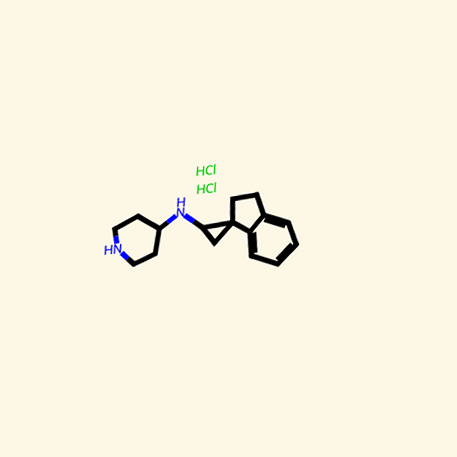 Cl.Cl.c1ccc2c(c1)CCC21CC1NC1CCNCC1